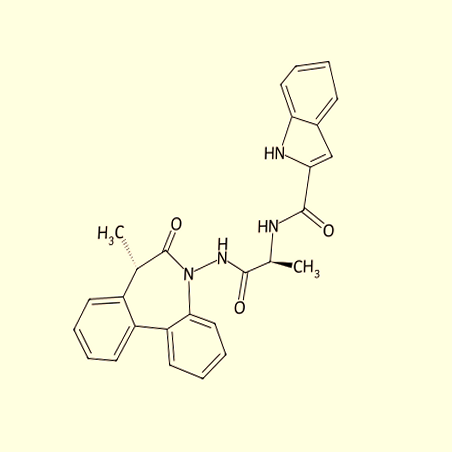 C[C@H](NC(=O)c1cc2ccccc2[nH]1)C(=O)NN1C(=O)[C@@H](C)c2ccccc2-c2ccccc21